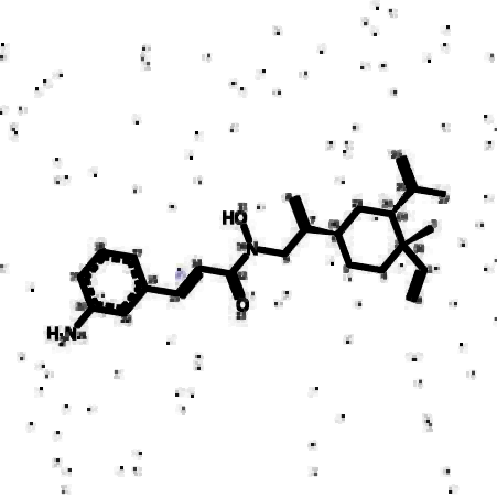 C=C[C@]1(C)CC[C@@H](C(=C)CN(O)C(=O)/C=C/c2cccc(N)c2)C[C@H]1C(=C)C